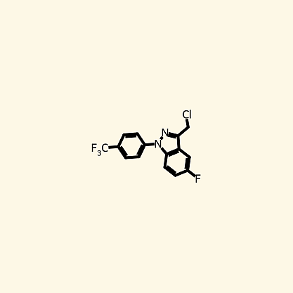 Fc1ccc2c(c1)c(CCl)nn2-c1ccc(C(F)(F)F)cc1